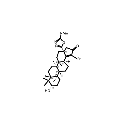 CNc1nnc([C@@]23CC[C@]4(C)[C@H](CC[C@@H]5[C@@]6(C)CC[C@H](O)C(C)(C)[C@@H]6CC[C@]54C)C2=C(C(C)C)C(=O)C3)o1